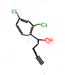 C#CCC(O)c1ccc(Cl)cc1Cl